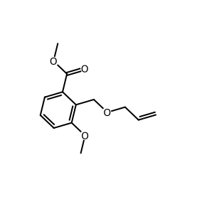 C=CCOCc1c(OC)cccc1C(=O)OC